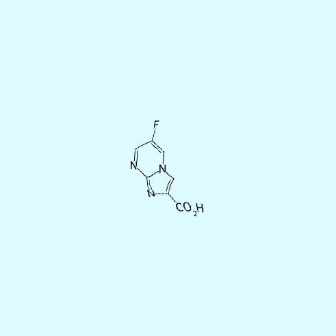 O=C(O)c1cn2cc(F)cnc2n1